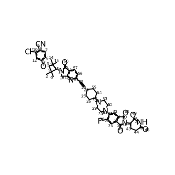 CC1(C)[C@H](Oc2ccc(C#N)c(Cl)c2)C(C)(C)[C@H]1N1Cc2nc(C#C[C@H]3CC[C@H](N4CCN(c5cc6c(cc5F)C(=O)N(C5CCC(=O)NC5=O)C6=O)CC4)CC3)ccc2C1=O